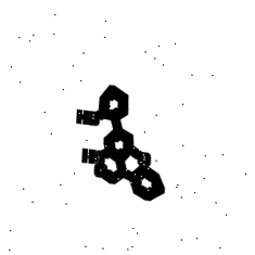 O=CC1c2ccccc2Oc2cc(-c3ccccc3O)cc(O)c21